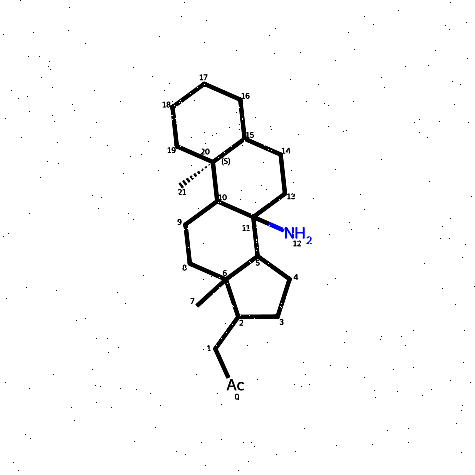 CC(=O)CC1CCC2C1(C)CCC1C2(N)CCC2CCCC[C@@]21C